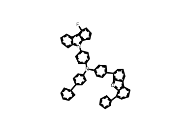 Fc1cccc2c1c1ccccc1n2-c1ccc(N(c2ccc(-c3ccccc3)cc2)c2ccc(-c3cccc4c3oc3c(-c5ccccc5)cccc34)cc2)cc1